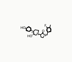 Cc1ccc(CN2CCC(N3CC[C@H](c4ccc(O)cc4)[C@@H](O)C3)C2=O)cc1F